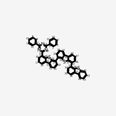 c1ccc(-c2nc(-c3ccccc3)nc(-c3cccc4c3sc3c(-c5cccc6c5sc5c(-c7cccc8c7sc7ccccc78)cccc56)cccc34)n2)cc1